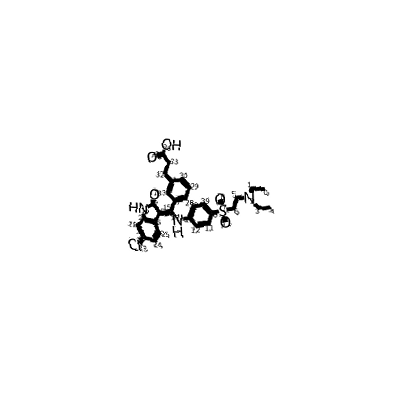 CCN(CC)CCS(=O)(=O)c1ccc(NC(=C2C(=O)Nc3cc(Cl)ccc32)c2cccc(CCC(=O)O)c2)cc1